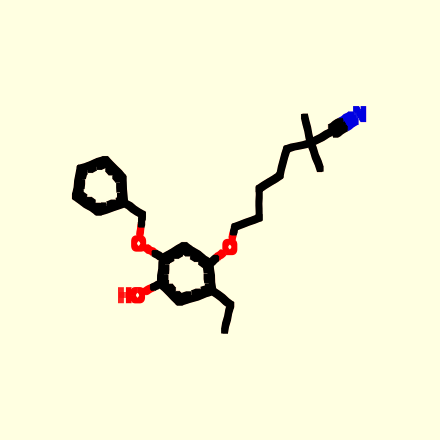 CCc1cc(O)c(OCc2ccccc2)cc1OCCCCCC(C)(C)C#N